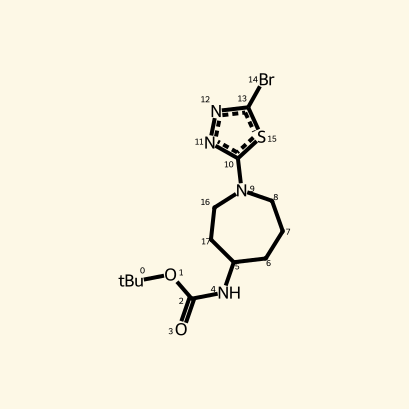 CC(C)(C)OC(=O)NC1CCCN(c2nnc(Br)s2)CC1